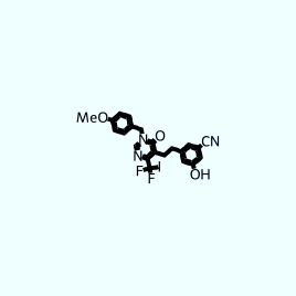 COc1ccc(Cn2cnc(C(F)(F)I)c(CCc3cc(O)cc(C#N)c3)c2=O)cc1